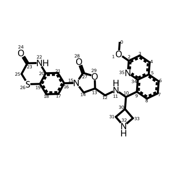 COc1ccc2cccc(C(NCC3CN(c4ccc5c(c4)NC(=O)CS5)C(=O)O3)C3CNC3)c2n1